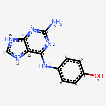 Nc1nc(Nc2ccc(O)cc2)c2nc[nH]c2n1